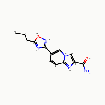 CCCc1nc(-c2ccc3nc(C(N)=O)cn3c2)no1